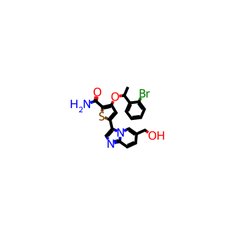 CC(Oc1cc(-c2cnc3ccc(CO)cn23)sc1C(N)=O)c1ccccc1Br